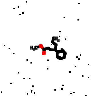 CCCC(CCC(=O)OC)c1ccccc1